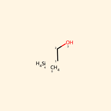 C.CCO.[SiH4]